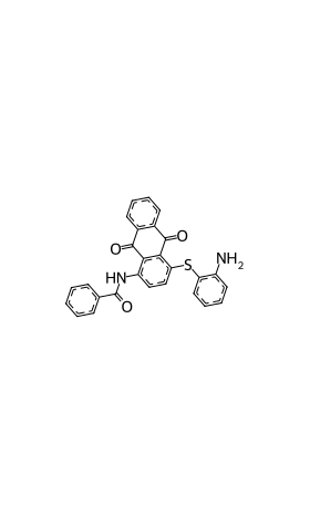 Nc1ccccc1Sc1ccc(NC(=O)c2ccccc2)c2c1C(=O)c1ccccc1C2=O